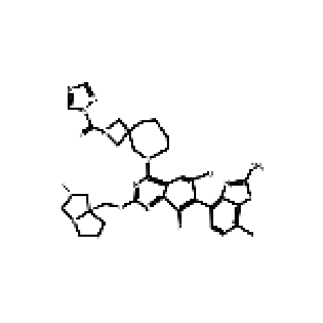 Nc1nc2c(-c3c(Cl)cc4c(N5CCCCC6(CN(C(=O)n7cncn7)C6)C5)nc(OC[C@@]56CCCN5C[C@H](F)C6)nc4c3F)ccc(F)c2s1